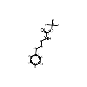 CC(C)(C)OC(=O)NCCCc1ccccc1